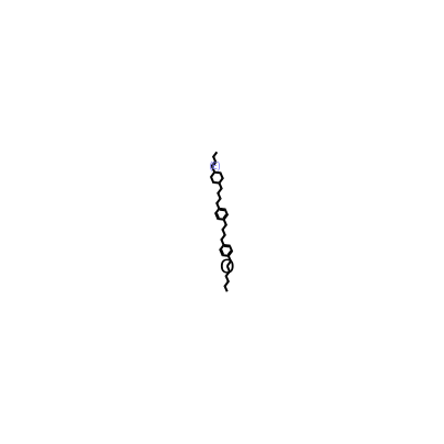 CC/C=C/C1CCC(CCCCc2ccc(CCCCc3ccc(COCCCCC)cc3)cc2)CC1